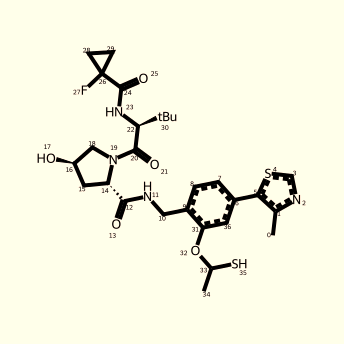 Cc1ncsc1-c1ccc(CNC(=O)[C@@H]2C[C@@H](O)CN2C(=O)[C@@H](NC(=O)C2(F)CC2)C(C)(C)C)c(OC(C)S)c1